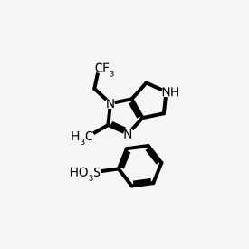 Cc1nc2c(n1CC(F)(F)F)CNC2.O=S(=O)(O)c1ccccc1